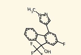 Cn1cc(-c2cc(F)cc3c2-c2ccccc2C3(O)C(F)(F)F)cn1